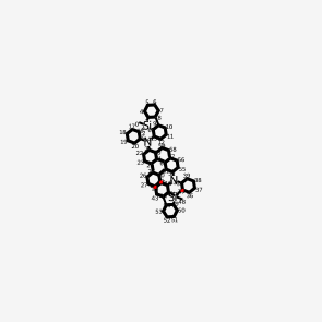 C[Si]1(C)c2ccccc2-c2cccc(N(c3ccccc3)c3ccc4c5ccccc5c5c(N(c6ccccc6)c6cccc7c6[Si](C)(C)c6ccccc6-7)ccc6ccc3c4c65)c21